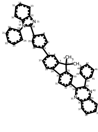 CC1(C)c2cc(-c3ccc(-c4nc5ccccc5n4-c4ccccc4)cc3)ccc2-c2ccc(-c3nc4ccccc4nc3-c3ccccc3)cc21